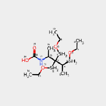 CCO[SiH2]C(C)C([SiH2]OCC)([SiH2]OCC)C(C)NC(=O)O